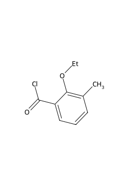 CCOc1c(C)cccc1C(=O)Cl